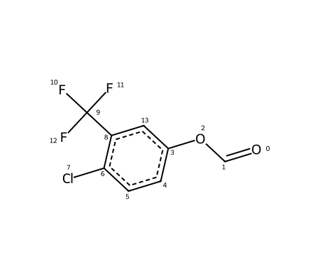 O=COc1ccc(Cl)c(C(F)(F)F)c1